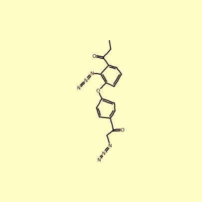 CCC(=O)c1cccc(Oc2ccc(C(=O)CN=[N+]=[N-])cc2)c1N=[N+]=[N-]